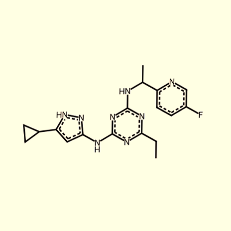 CCc1nc(Nc2cc(C3CC3)[nH]n2)nc(NC(C)c2ccc(F)cn2)n1